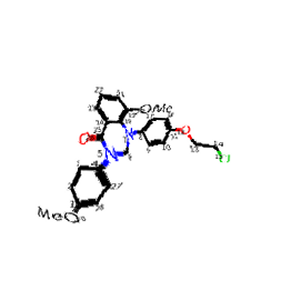 COc1ccc(N2CN(c3ccc(OCCCl)cc3)c3c(OC)cccc3C2=O)cc1